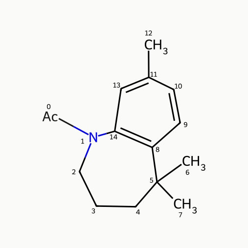 CC(=O)N1CCCC(C)(C)c2ccc(C)cc21